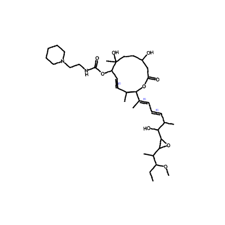 CCC(OC)C(C)C1OC1C(O)C(C)/C=C/C=C(\C)C1OC(=O)CC(O)CCC(C)(O)C(OC(=O)NCCN2CCCCC2)/C=C/C1C